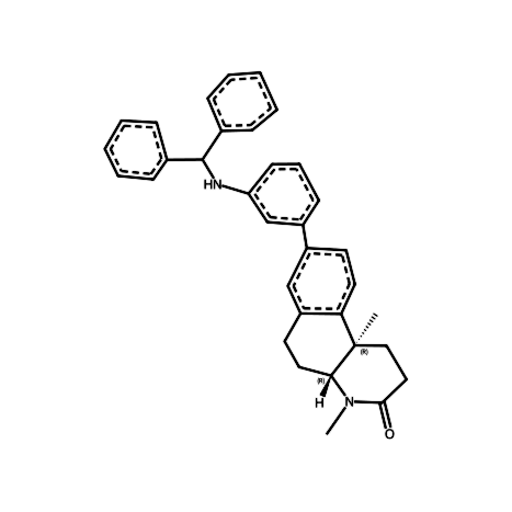 CN1C(=O)CC[C@]2(C)c3ccc(-c4cccc(NC(c5ccccc5)c5ccccc5)c4)cc3CC[C@@H]12